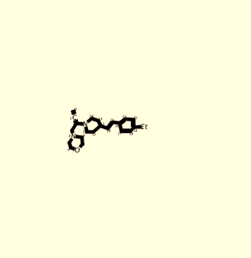 C=C=C(CN1CCOCC1)N1CCC(/C=C/c2ccc(CC)cc2)CC1